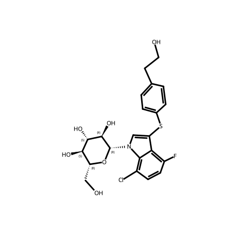 OCCc1ccc(Sc2cn([C@@H]3O[C@H](CO)[C@@H](O)[C@H](O)[C@H]3O)c3c(Cl)ccc(F)c23)cc1